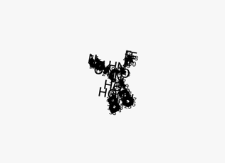 CC(C)(c1cc2cnccc2o1)N1CCN(C[C@@H](O)C[C@@H](Cc2ccccc2)C(=O)N[C@H]2c3ccccc3C[C@H]2O)[C@H](C(=O)NCCC(F)(F)F)C1